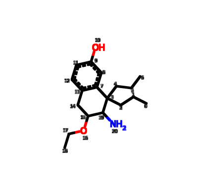 CCCC1(CCC)c2cc(O)ccc2CC(OCC)C1N